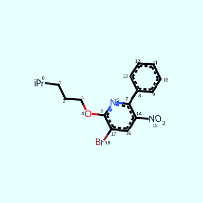 CC(C)CCCOc1nc(-c2ccccc2)c([N+](=O)[O-])cc1Br